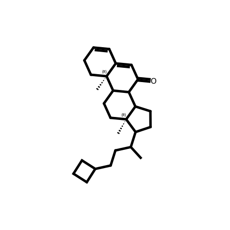 CC(CCC1CCC1)C1CCC2C3C(=O)C=C4C=CCC[C@]4(C)C3CC[C@]12C